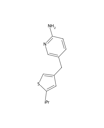 CC(C)c1cc(Cc2ccc(N)nc2)cs1